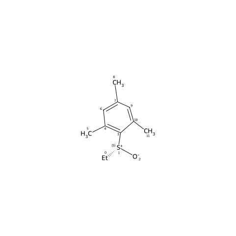 CC[S@@+]([O-])c1c(C)cc(C)cc1C